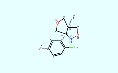 Fc1ccc(Br)cc1[C@]12COC[C@H]1CON2